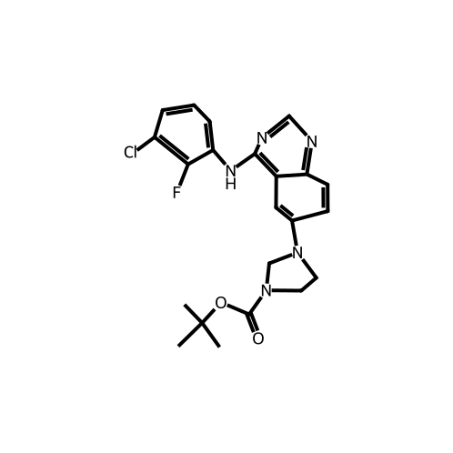 CC(C)(C)OC(=O)N1CCN(c2ccc3ncnc(Nc4cccc(Cl)c4F)c3c2)C1